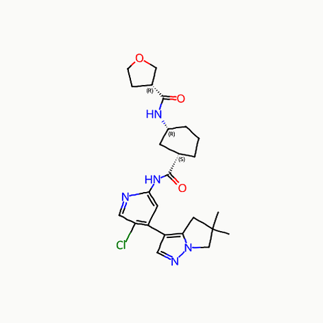 CC1(C)Cc2c(-c3cc(NC(=O)[C@H]4CCC[C@@H](NC(=O)[C@@H]5CCOC5)C4)ncc3Cl)cnn2C1